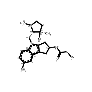 CC(C)OC(=O)N[C@H]1Cc2c(n(C[C@@H]3N(C)CC[C@@]3(C)O)c3ccc(N)cc23)C1